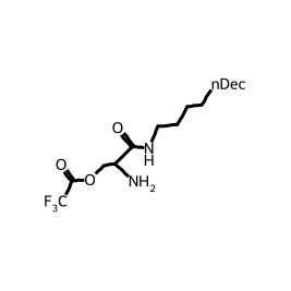 CCCCCCCCCCCCCCNC(=O)C(N)COC(=O)C(F)(F)F